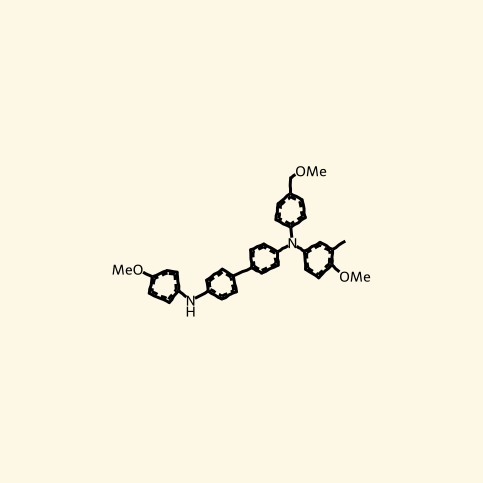 COCc1ccc(N(c2ccc(-c3ccc(Nc4ccc(OC)cc4)cc3)cc2)c2ccc(OC)c(C)c2)cc1